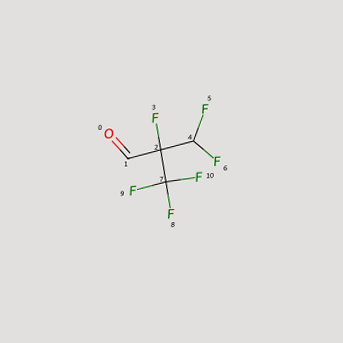 O=CC(F)(C(F)F)C(F)(F)F